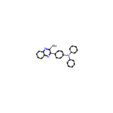 CC(C)(C)c1nc2ccccc2nc1-c1ccc(N(c2ccccc2)c2ccccc2)cc1